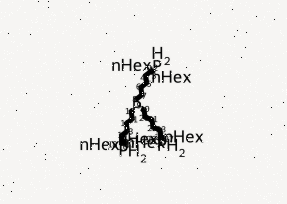 CCCCCCC(P)(CCCCCC)CCCCCP(CCCCCC(P)(CCCCCC)CCCCCC)CCCCCC(P)(CCCCCC)CCCCCC